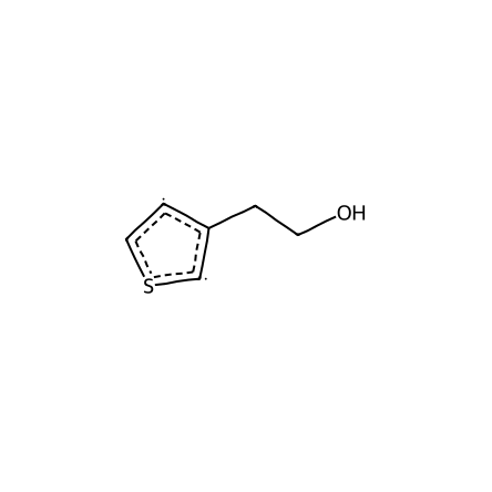 OCCc1[c]cs[c]1